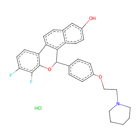 Cl.Oc1ccc2c3c(ccc2c1)-c1ccc(F)c(F)c1OC3c1ccc(OCCN2CCCCC2)cc1